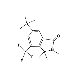 CN1C(=O)c2cc(C(C)(C)C)cc(C(F)(F)F)c2C1(C)C